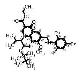 CCOC(=O)c1cn(C(C(C)C)C(I)O[Si](C)(C)C(C)(C)C)c2nc(OC)c(CNc3c(F)cc(F)cc3F)cc2c1=O